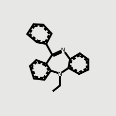 CCN1c2ccccc2N=C(c2ccccc2)c2ccccc21